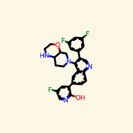 Oc1ncc(F)cc1-c1ccc2ncc(-c3cc(F)cc(F)c3)c(N3CCC4NCCOC4C3)c2c1